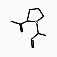 C=CC(C)N1CCCC1C(=C)C